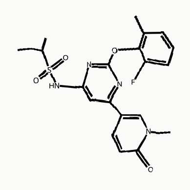 Cc1cccc(F)c1Oc1nc(NS(=O)(=O)C(C)C)cc(-c2ccc(=O)n(C)c2)n1